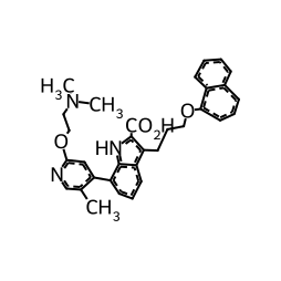 Cc1cnc(OCCN(C)C)cc1-c1cccc2c(CCCOc3cccc4ccccc34)c(C(=O)O)[nH]c12